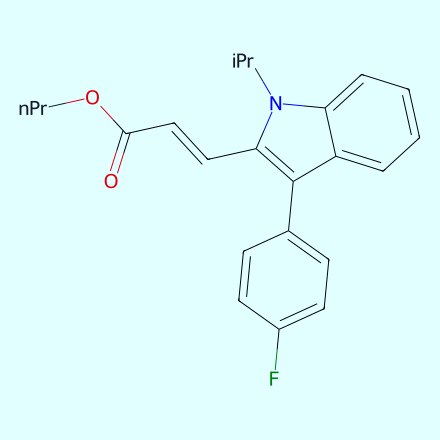 CCCOC(=O)/C=C/c1c(-c2ccc(F)cc2)c2ccccc2n1C(C)C